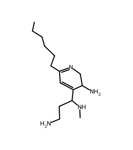 CCCCCCC1=NCC(N)C(C(CCN)NC)=C1